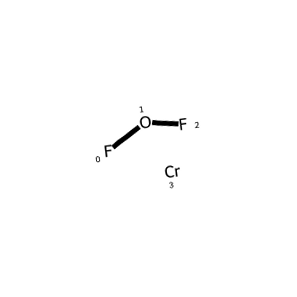 FOF.[Cr]